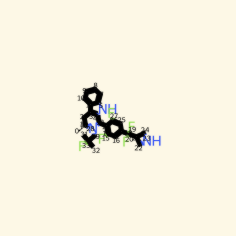 C[C@@H]1Cc2c([nH]c3ccccc23)C(c2c(F)cc(C(F)(F)C3CNC3)cc2F)N1CC(C)(C)F